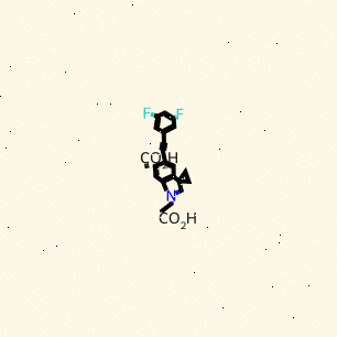 CC(=O)O.O=C(O)CCN1Cc2ccc(C#Cc3cc(F)cc(F)c3)cc2C2(CC2)C1